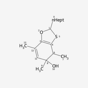 CCCCCCCC1OC2=C(S1)C(C)C(C)(O)C=C2C